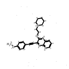 COc1ccc(C#Cc2nc3ncccc3nc2OCCN2CCCCC2)cc1